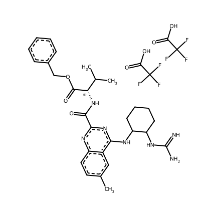 Cc1ccc2nc(C(=O)N[C@H](C(=O)OCc3ccccc3)C(C)C)nc(NC3CCCCC3NC(=N)N)c2c1.O=C(O)C(F)(F)F.O=C(O)C(F)(F)F